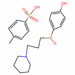 Cc1ccc(S(=O)(=O)O)cc1.[O-][S+](CCCN1CCCCC1)c1ccc(O)cc1